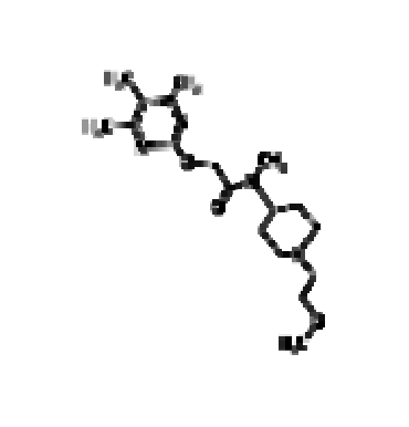 COCCN1CCC(N(C)C(=O)COc2nc(C)c(C)c(C)n2)CC1